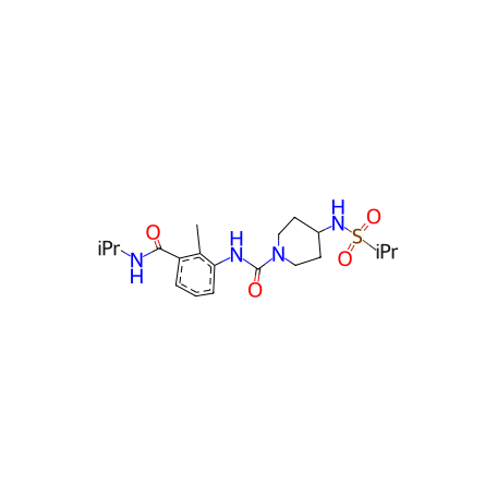 Cc1c(NC(=O)N2CCC(NS(=O)(=O)C(C)C)CC2)cccc1C(=O)NC(C)C